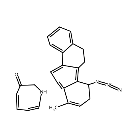 CC1=CCC(N=[N+]=[N-])c2c1ccc1c2CCc2ccccc2-1.O=C1C=CC=CNC1